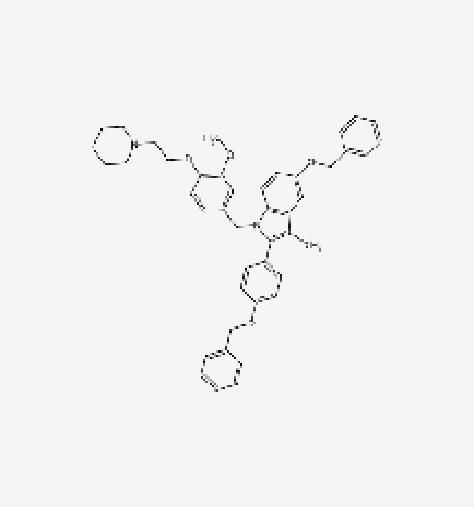 COc1cc(Cn2c(-c3ccc(OCc4ccccc4)cc3)c(C)c3cc(OCc4ccccc4)ccc32)ccc1OCCN1CCCCC1